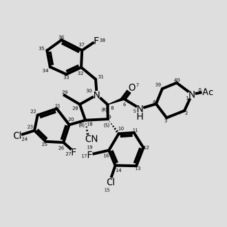 CC(=O)N1CCC(NC(=O)[C@H]2[C@H](c3cccc(Cl)c3F)[C@@](C#N)(c3ccc(Cl)cc3F)C(C)N2Cc2ccccc2F)CC1